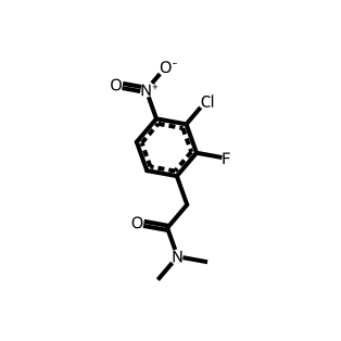 CN(C)C(=O)Cc1ccc([N+](=O)[O-])c(Cl)c1F